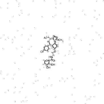 CC(=O)C[C@@H]1N=C(c2ccc(Cl)cc2)c2cc(OCCNC(=O)c3cccc(O)c3O)ccc2-n2c(C)nnc21